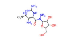 N=C(N)N/C(C(=O)N(N)C1OC(CO)C(O)C1O)=C(/N)C(=N)[N+](=O)[O-]